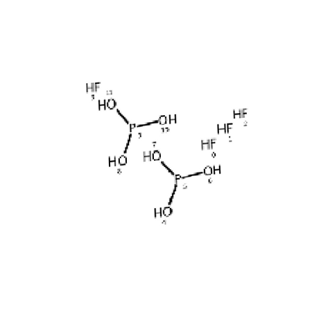 F.F.F.F.OP(O)O.OP(O)O